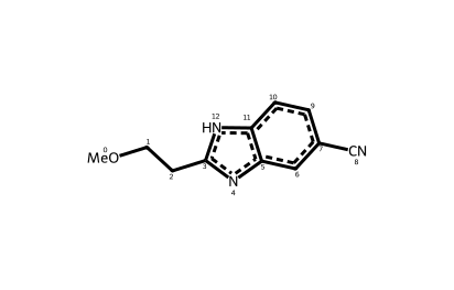 COCCc1nc2cc(C#N)ccc2[nH]1